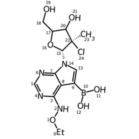 CCONc1ncnc2c1c(B(O)O)cn2[C@@H]1OC(CO)C(O)[C@@]1(C)Cl